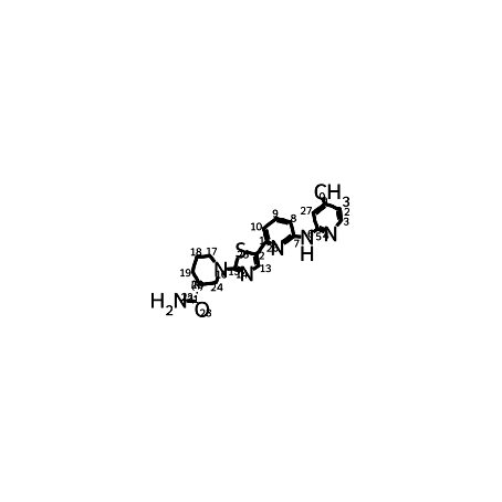 Cc1ccnc(Nc2cccc(-c3cnc(N4CCC[C@@H](C(N)=O)C4)s3)n2)c1